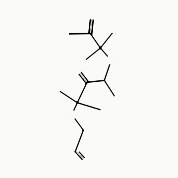 CC(=O)C(C)(C)OC(C)C(=O)C(C)(C)OCC=O